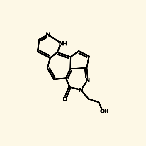 O=c1c2ccc3c(c4ccc(nn1CCO)c2-4)NN=CC=3